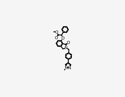 COC(=O)C(Oc1cccc2c1C(=O)N(Cc1ccc(-c3cnn(C)c3)cc1)C2)c1ccccc1